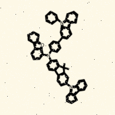 CC1(C)c2cc(N(c3ccc(-c4ccc5c6ccccc6n(-c6ccccc6)c5c4)cc3)c3cccc4c3oc3ccccc34)ccc2-c2ccc(-n3c4ccccc4c4ccccc43)cc21